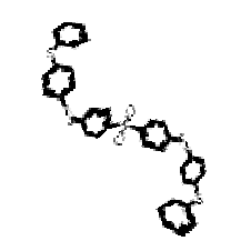 O=S(=O)(c1ccc(Sc2ccc(Sc3ccccc3)cc2)cc1)c1ccc(Sc2ccc(Sc3ccccc3)cc2)cc1